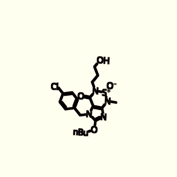 CCCCOc1nc2c(n1Cc1ccc(Cl)cc1)C(=O)N(CCCO)[S+]([O-])N2C